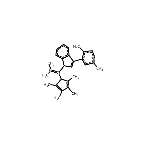 CC1=C(C)[CH]([Zr]([CH]2C=C(c3cc(C)ccc3C)c3ccccc32)=[Si](C)C)C(C)=C1C